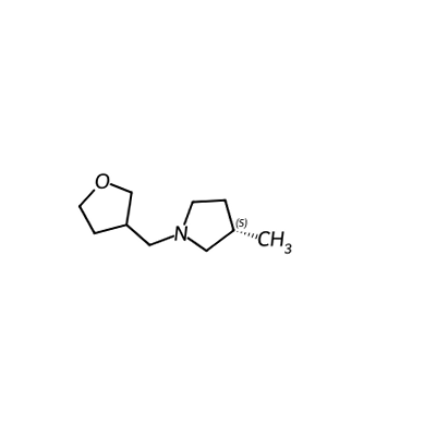 C[C@H]1CCN(CC2CCOC2)C1